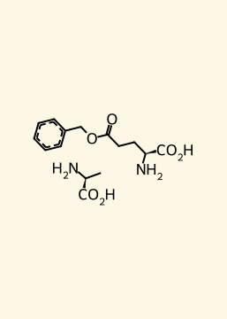 C[C@H](N)C(=O)O.N[C@@H](CCC(=O)OCc1ccccc1)C(=O)O